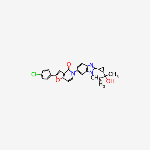 Cn1c([C@H]2C[C@H]2C(C)(C)O)nc2ccc(-n3ccc4oc(-c5ccc(Cl)cc5)cc4c3=O)cc21